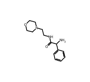 NC(C(=O)NCCN1CCOCC1)c1ccccc1